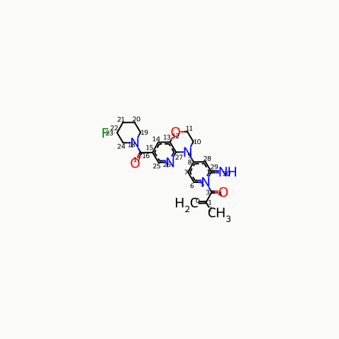 C=C(C)C(=O)n1ccc(N2CCOc3cc(C(=O)N4CCC[C@@H](F)C4)cnc32)cc1=N